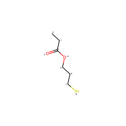 CCC(=O)OCCCS